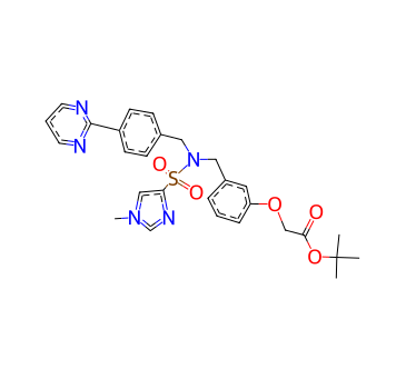 Cn1cnc(S(=O)(=O)N(Cc2ccc(-c3ncccn3)cc2)Cc2cccc(OCC(=O)OC(C)(C)C)c2)c1